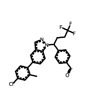 Cc1cc(Cl)ccc1-c1ccc2c(cnn2C(CCC(F)(F)F)c2ccc([C]=O)cc2)c1